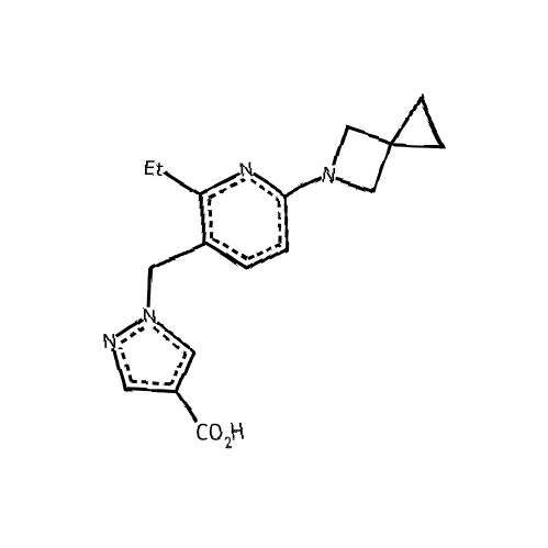 CCc1nc(N2CC3(CC3)C2)ccc1Cn1cc(C(=O)O)cn1